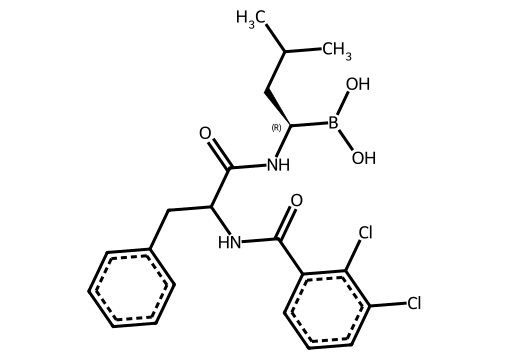 CC(C)C[C@H](NC(=O)C(Cc1ccccc1)NC(=O)c1cccc(Cl)c1Cl)B(O)O